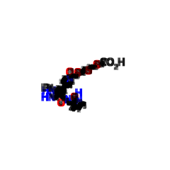 Cc1cc(C)c(CNC(=O)c2cc(C3=CCN(C(=O)COCCOCCOCC(=O)O)CC3)cc(NC(C)C)c2C=N)c(=O)[nH]1